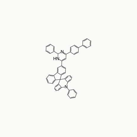 C1=C(c2ccc3c(c2)-c2ccccc2C32c3ccccc3N(c3ccccc3)c3ccccc32)NC(c2ccccc2)N=C1c1ccc(-c2ccccc2)cc1